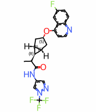 CC(C(=O)Nc1cnn(C(F)(F)F)c1)[C@H]1[C@@H]2C[C@@H](Oc3ccnc4ccc(F)cc34)C[C@@H]21